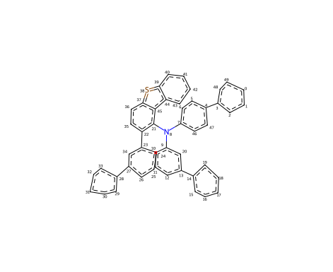 c1ccc(-c2ccc(N(c3cccc(-c4ccccc4)c3)c3c(-c4cccc(-c5ccccc5)c4)ccc4sc5ccccc5c34)cc2)cc1